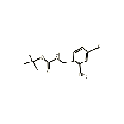 CC(C)(C)OC(=O)NCc1ccc(F)cc1N